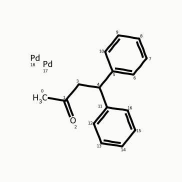 CC(=O)CC(c1ccccc1)c1ccccc1.[Pd].[Pd]